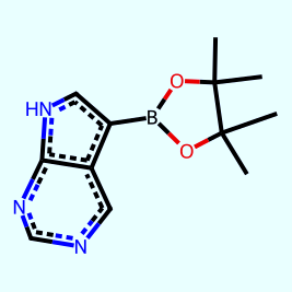 CC1(C)OB(c2c[nH]c3ncncc23)OC1(C)C